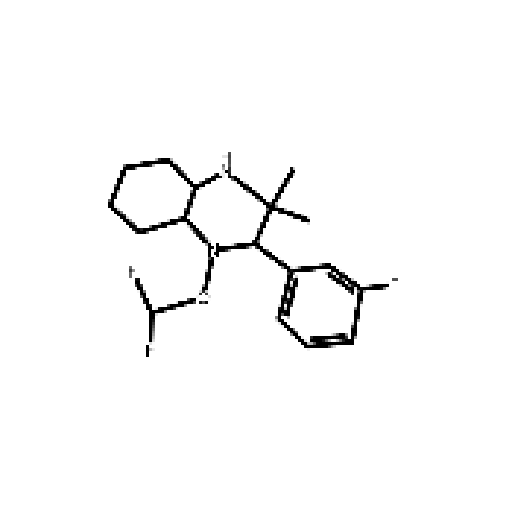 CC1(C)NC2CCCCC2N(OC(F)F)C1c1cccc(F)c1